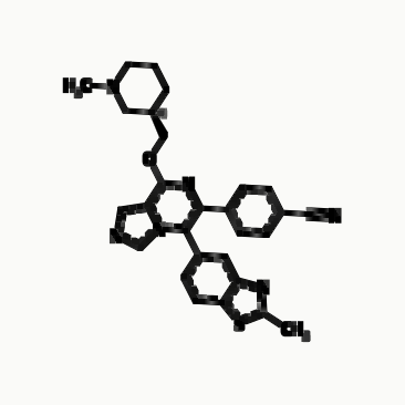 Cc1nc2cc(-c3c(-c4ccc(C#N)cc4)nc(OC[C@@H]4CCCN(C)C4)c4cncn34)ccc2s1